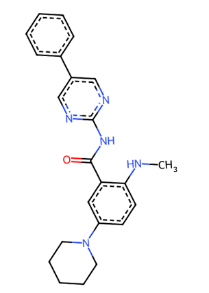 CNc1ccc(N2CCCCC2)cc1C(=O)Nc1ncc(-c2ccccc2)cn1